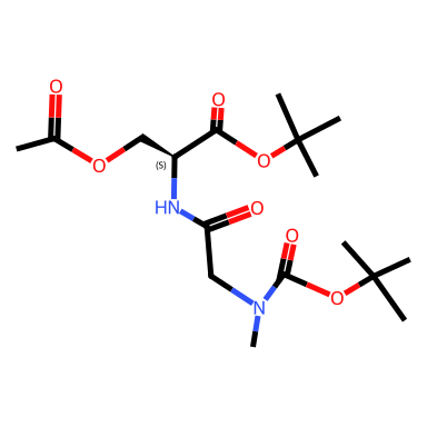 CC(=O)OC[C@H](NC(=O)CN(C)C(=O)OC(C)(C)C)C(=O)OC(C)(C)C